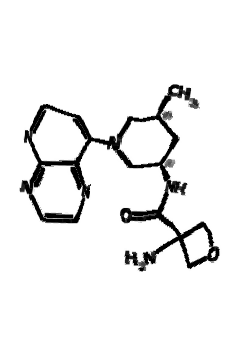 C[C@H]1C[C@@H](NC(=O)C2(N)COC2)CN(c2ccnc3nccnc23)C1